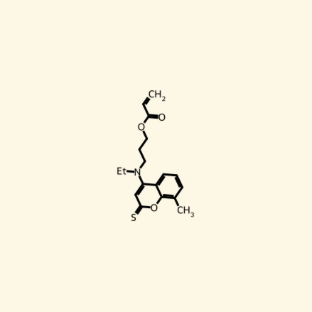 C=CC(=O)OCCCN(CC)c1cc(=S)oc2c(C)cccc12